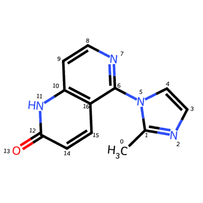 Cc1nccn1-c1nccc2[nH]c(=O)ccc12